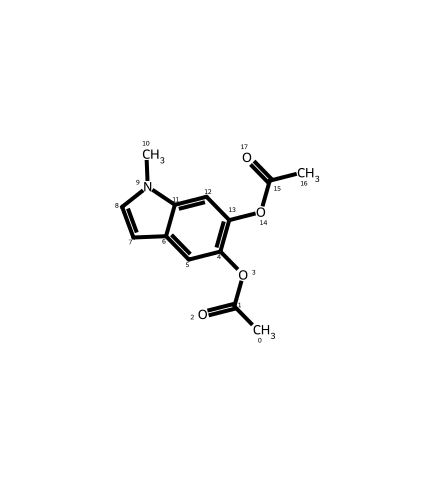 CC(=O)Oc1cc2ccn(C)c2cc1OC(C)=O